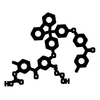 Cc1ccc(C(=O)c2ccc(Oc3ccc(C4(c5ccc(Oc6ccc(C(=O)c7ccc(C)c(OS(=O)O)c7)cc6SOOO)cc5)c5ccccc5-c5ccccc54)cc3)cc2)cc1